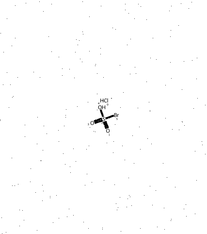 Cl.O=S(=O)(O)Br